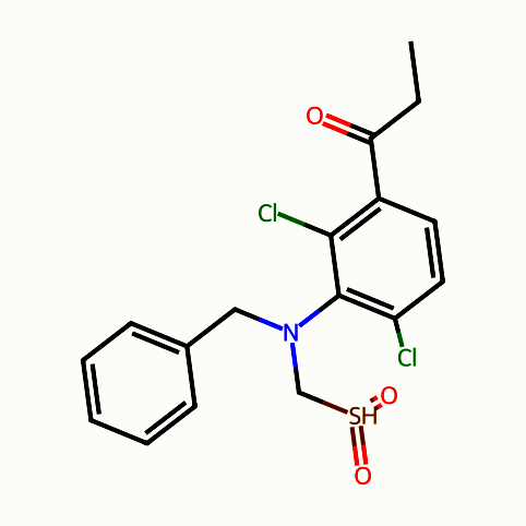 CCC(=O)c1ccc(Cl)c(N(Cc2ccccc2)C[SH](=O)=O)c1Cl